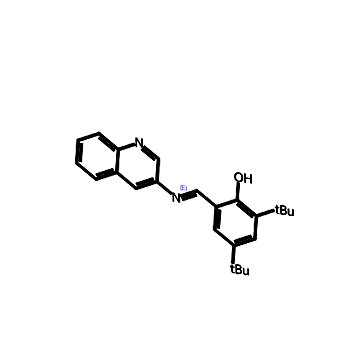 CC(C)(C)c1cc(/C=N/c2cnc3ccccc3c2)c(O)c(C(C)(C)C)c1